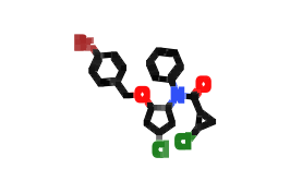 O=C(C1CC1Cl)N(c1ccccc1)C1CC(Cl)CC1OCc1ccc(Br)cc1